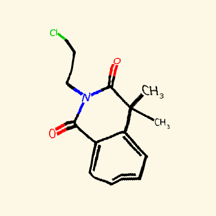 CC1(C)C(=O)N(CCCl)C(=O)c2ccccc21